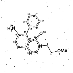 COCCn1cnc2ccc(N)c(-c3ccccc3)c2c1=O